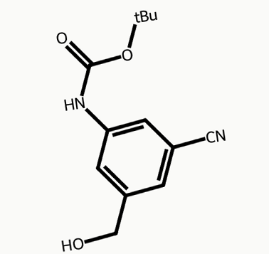 CC(C)(C)OC(=O)Nc1cc(C#N)cc(CO)c1